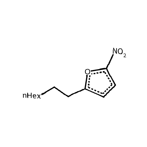 CCCCCCCCc1ccc([N+](=O)[O-])o1